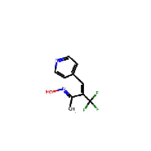 CC(=NO)/C(=C\c1ccncc1)C(F)(F)F